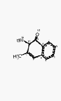 CC1=Cc2ccccc2C(=O)C1C(C)(C)C